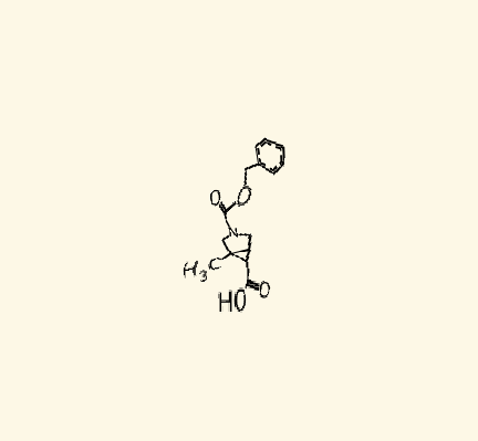 CC12CN(C(=O)OCc3ccccc3)CC1C2C(=O)O